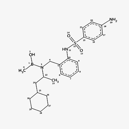 CB(O)N(Cc1ccccc1NS(=O)(=O)c1ccc(N)cc1)C(C)CC1CCCCC1